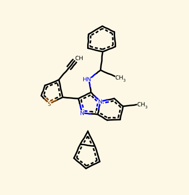 C#Cc1ccsc1-c1nc2ccc(C)cn2c1NC(C)c1ccccc1.c1cc2cc-2c1